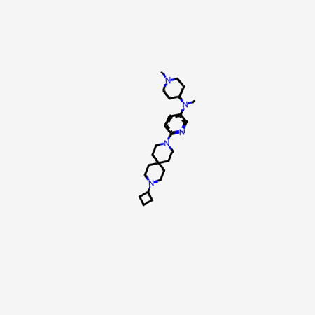 CN1CCC(N(C)c2ccc(N3CCC4(CC3)CCN(C3CCC3)CC4)nc2)CC1